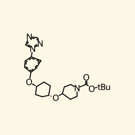 CC(C)(C)OC(=O)N1CCC(O[C@H]2CC[C@H](Oc3ccc(-n4cncn4)cc3)CC2)CC1